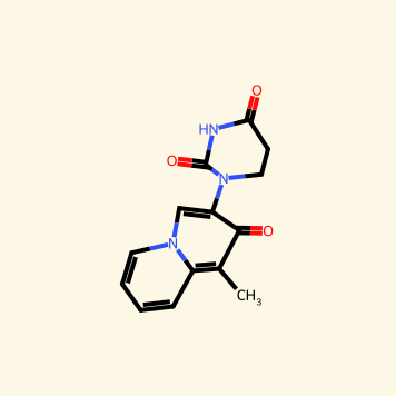 Cc1c(=O)c(N2CCC(=O)NC2=O)cn2ccccc12